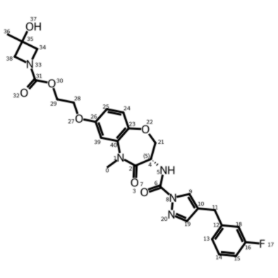 CN1C(=O)[C@@H](NC(=O)n2cc(Cc3cccc(F)c3)cn2)COc2ccc(OCCOC(=O)N3CC(C)(O)C3)cc21